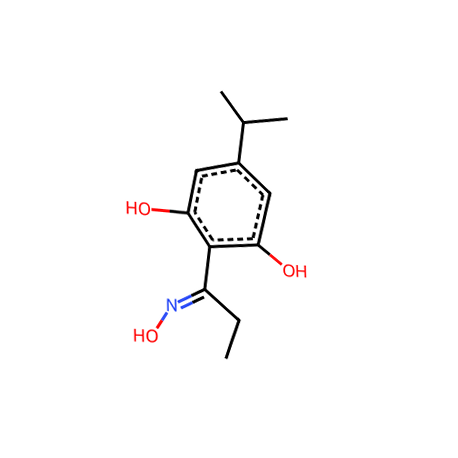 CC/C(=N\O)c1c(O)cc(C(C)C)cc1O